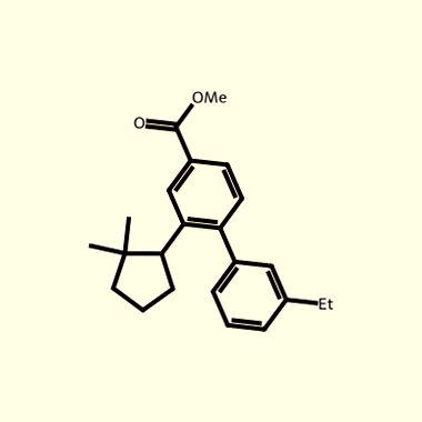 CCc1cccc(-c2ccc(C(=O)OC)cc2C2CCCC2(C)C)c1